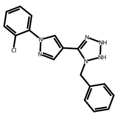 Clc1ccccc1-n1cc(C2=NNNN2Cc2ccccc2)cn1